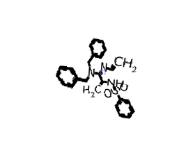 C=C/N=C(\C(=C)NS(=O)(=O)c1ccccc1)N(Cc1ccccc1)Cc1ccccc1